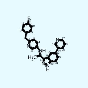 C=C(Nc1ccc(Cc2ccc(F)cc2)nc1)c1n[nH]c2ccc(-c3cccnc3)cc12